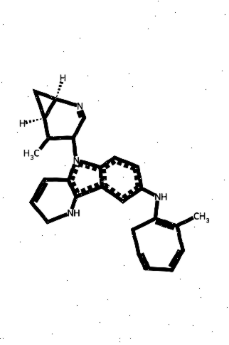 CC1=C(Nc2ccc3c(c2)c2c(n3C3C=N[C@@H]4C[C@@H]4C3C)C=CCN2)CC=CC=C1